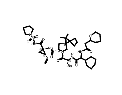 C=C[C@@H]1C[C@]1(NC(=O)[C@@H]1C[C@@]2(CN1C(=O)[C@@H](NC(=O)C(NC(=O)CC1CCCCO1)C1CCCCC1)C(C)(C)C)C(C)(C)C21CCC1)C(=O)NS(=O)(=O)N1CCCC1